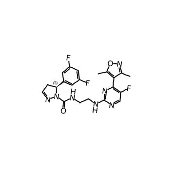 Cc1noc(C)c1-c1nc(NCCNC(=O)N2N=CC[C@H]2c2cc(F)cc(F)c2)ncc1F